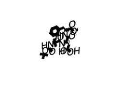 COC(=O)[C@H](Cc1ccccc1)NC(=O)[C@H](CC(=O)O)NC(=O)C(C)(C)NC(=O)OC(C)(C)C